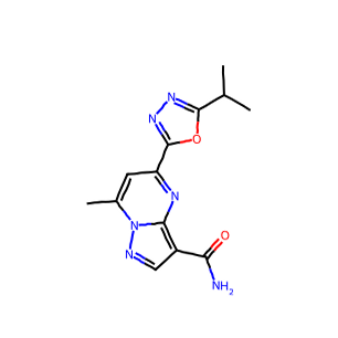 Cc1cc(-c2nnc(C(C)C)o2)nc2c(C(N)=O)cnn12